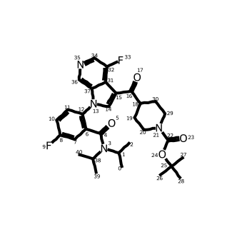 CC(C)N(C(=O)c1cc(F)ccc1-n1cc(C(=O)C2CCN(C(=O)OC(C)(C)C)CC2)c2c(F)cncc21)C(C)C